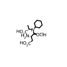 C[C@@H](C(=O)O)N(C(=O)[C@@H](N)CC(=O)O)C1CCCCC1.Cl